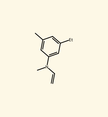 C=CN(C)c1cc(C)cc(CC)c1